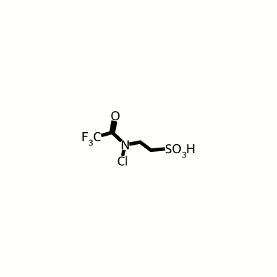 O=C(N(Cl)CCS(=O)(=O)O)C(F)(F)F